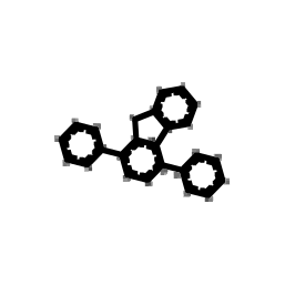 [c]1cccc2c1Cc1c(-c3ccccc3)ccc(-c3ccccc3)c1-2